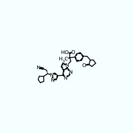 CC(Cn1ccc2c(-c3cnn([C@H](CC#N)C4CCCC4)c3)ncnc21)(C(=O)O)c1ccc(CC2CCCC2=O)cc1